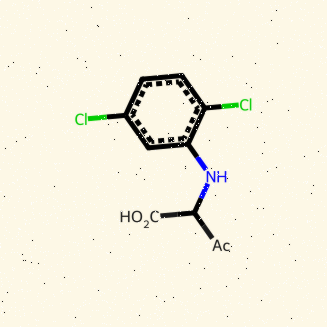 CC(=O)C(Nc1cc(Cl)ccc1Cl)C(=O)O